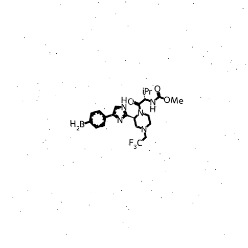 Bc1ccc(-c2c[nH]c([C@@H]3CN(CC(F)(F)F)CCN3C(=O)[C@@H](NC(=O)OC)C(C)C)n2)cc1